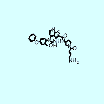 Cc1cc(Oc2ccccc2)ccc1N1C(=O)Nc2c(C(=O)NC3CCN(C(=O)C=CCN)C3)sc3nccc1c23